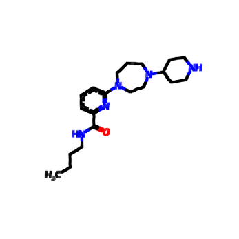 CCCCNC(=O)c1cccc(N2CCCN(C3CCNCC3)CC2)n1